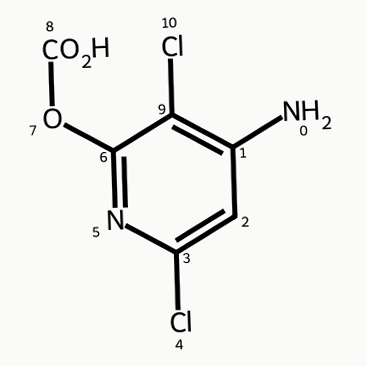 Nc1cc(Cl)nc(OC(=O)O)c1Cl